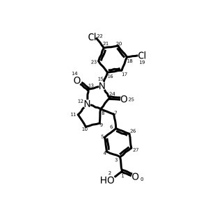 O=C(O)c1ccc(CC23CCCN2C(=O)N(c2cc(Cl)cc(Cl)c2)C3=O)cc1